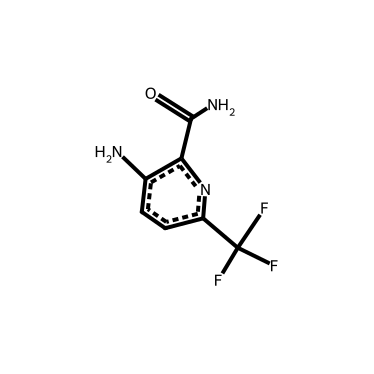 NC(=O)c1nc(C(F)(F)F)ccc1N